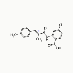 C/C(=C\c1ccc(C)cc1)C(=O)Nc1cc(Cl)ccc1C(=O)O